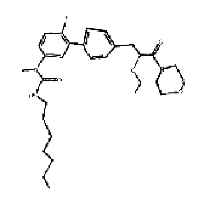 CCCCCCCNC(=O)N(C)c1ccc(F)c(-c2ccc(CC(OCC)C(=O)N3CCOCC3)cc2)c1